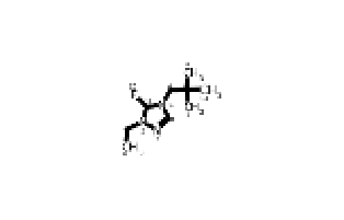 CCN1N=CN(CC(C)(C)C)C1F